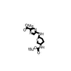 COC(=O)c1cnc(NC2CCC(NC(=O)OC(C)(C)C)CC2)cn1